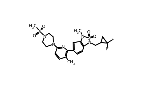 Cc1ccc(N2CCN(S(C)(=O)=O)CC2)nc1-c1ccc2c(c1)N(C)S(=O)(=O)N2CC1CC1(F)F